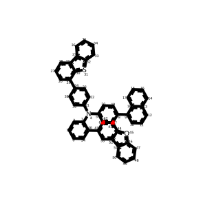 c1ccc(N(c2ccc(-c3cccc4ccccc34)cc2)c2ccc(-c3cccc4c3sc3ccccc34)cc2)c(-c2ccc3oc4ccccc4c3c2)c1